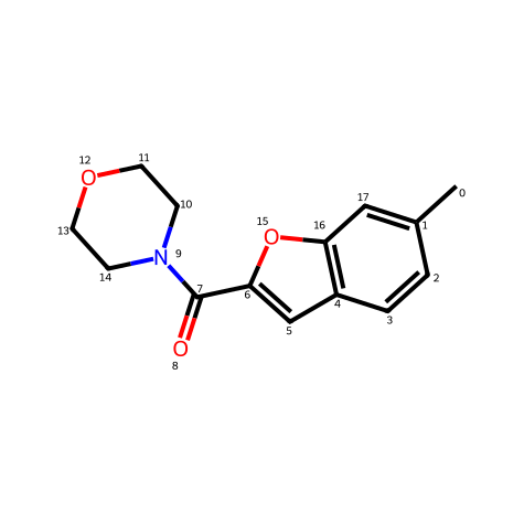 Cc1ccc2cc(C(=O)N3CCOCC3)oc2c1